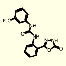 O=C(Nc1cccc(C(F)(F)F)c1)Nc1ccccc1-c1n[nH]c(=O)o1